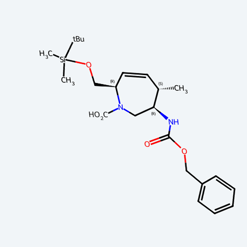 C[C@H]1C=C[C@H](CO[Si](C)(C)C(C)(C)C)N(C(=O)O)C[C@@H]1NC(=O)OCc1ccccc1